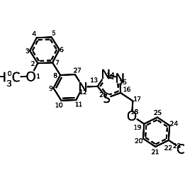 COc1ccccc1C1=CC=CN(c2nnc(COc3ccc(Cl)cc3)s2)C1